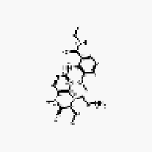 CCNC(=O)c1cccc(OC)c1Nc1ncc2c(n1)N(CCN)C(CC)C(=O)N2C